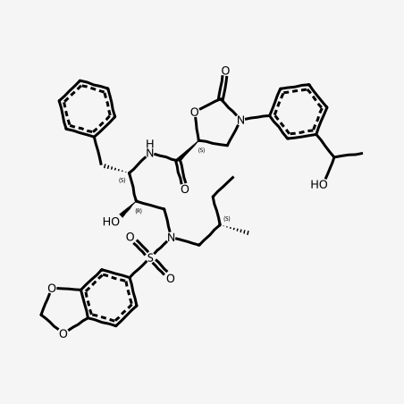 CC[C@H](C)CN(C[C@@H](O)[C@H](Cc1ccccc1)NC(=O)[C@@H]1CN(c2cccc(C(C)O)c2)C(=O)O1)S(=O)(=O)c1ccc2c(c1)OCO2